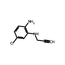 C#CCNc1cc(Cl)ccc1N